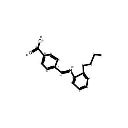 CCCCc1ccccc1/N=C/c1ccc(C(=O)O)cc1